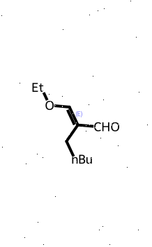 CCCCC/C(C=O)=C\OCC